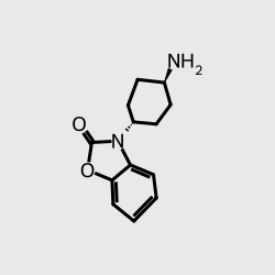 N[C@H]1CC[C@H](n2c(=O)oc3ccccc32)CC1